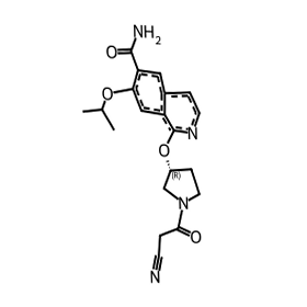 CC(C)Oc1cc2c(O[C@@H]3CCN(C(=O)CC#N)C3)nccc2cc1C(N)=O